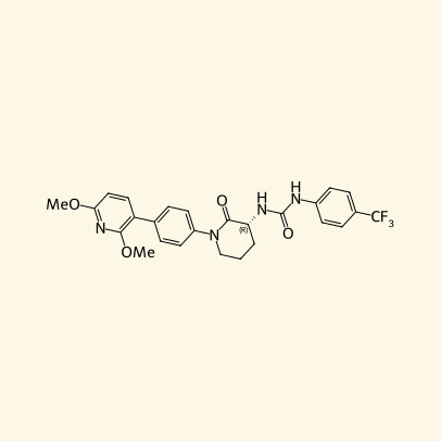 COc1ccc(-c2ccc(N3CCC[C@@H](NC(=O)Nc4ccc(C(F)(F)F)cc4)C3=O)cc2)c(OC)n1